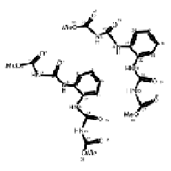 COC(=O)NC(=O)Nc1ccccc1NC(=O)NC(=O)OC.COC(=O)NC(=O)Nc1ccccc1NC(=O)NC(=O)OC